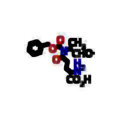 C[C@@H]([C]=O)N(C(=O)CC[C@H](N)C(=O)O)C(=O)OCc1ccccc1